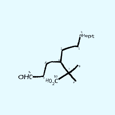 CCCCCCCCCC(CCC=O)C(C)(C)C(=O)O